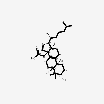 CC(C)CCC[C@@H](C)[C@H]1CC[C@@]2(CC(=O)O)C3=C(CC[C@]12C)[C@@]1(C)CC[C@H](O)C(C)(C)[C@@H]1CC3